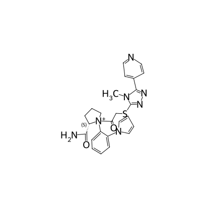 Cn1c(SCC(=O)[N+]2(c3ccccc3-n3cccc3)CCC[C@H]2C(N)=O)nnc1-c1ccncc1